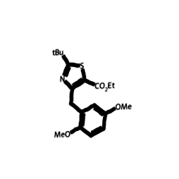 CCOC(=O)c1sc(C(C)(C)C)nc1Cc1cc(OC)ccc1OC